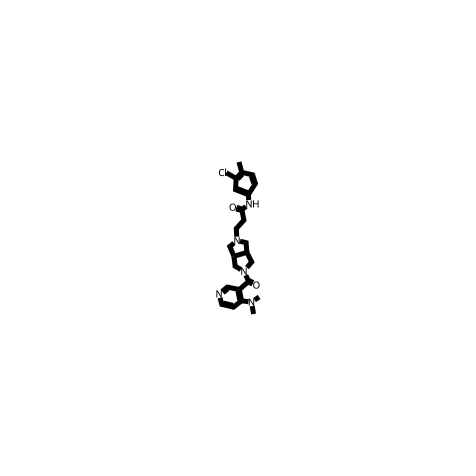 Cc1ccc(NC(=O)CCN2CC3CN(C(=O)c4cnccc4N(C)C)CC3C2)cc1Cl